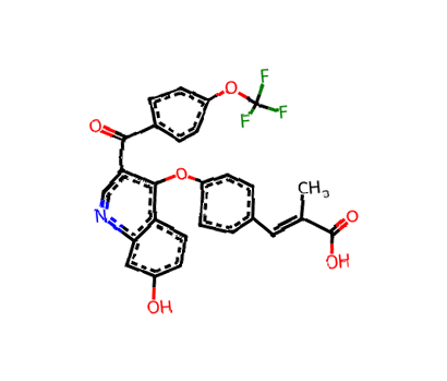 C/C(=C\c1ccc(Oc2c(C(=O)c3ccc(OC(F)(F)F)cc3)cnc3cc(O)ccc23)cc1)C(=O)O